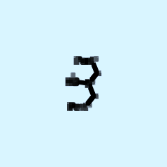 CCCC(C)CN(O)CC(C)CCC